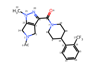 CC(=O)N1Cc2c(C(=O)N3CCC(c4ccccc4C(F)(F)F)CC3)nn(C)c2C1